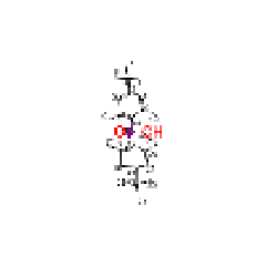 Cc1cc(C(C)(C)C)cc(C)c1P(=O)(O)c1c(C)cc(C(C)(C)C)cc1C